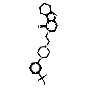 O=c1c2c3c(sc2ncn1CCN1CCN(c2cccc(C(F)(F)F)c2)CC1)CCCC3